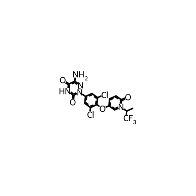 CC(n1cc(Oc2c(Cl)cc(-n3nc(N)c(=O)[nH]c3=O)cc2Cl)ccc1=O)C(F)(F)F